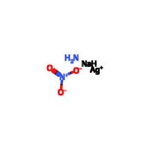 N.O=[N+]([O-])[O-].[Ag+].[NaH]